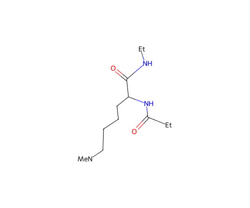 CCNC(=O)C(CCCCNC)NC(=O)CC